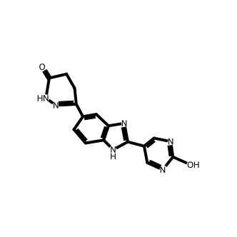 O=C1CCC(c2ccc3[nH]c(-c4cnc(O)nc4)nc3c2)=NN1